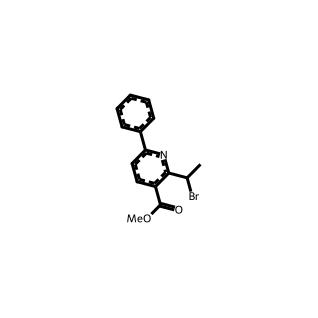 COC(=O)c1ccc(-c2ccccc2)nc1C(C)Br